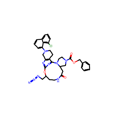 [N-]=[N+]=NCC1CCNC(=O)CC2CN(C(=O)OCc3ccccc3)CCN2c2nc(nc3c2CCN(c2cccc4cccc(Cl)c24)C3)O1